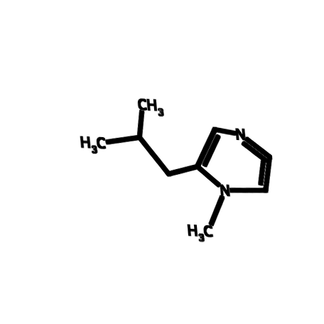 CC(C)CC1=CN=C=CN1C